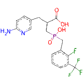 Nc1ccc(CC(CP(=O)(O)Cc2cccc(C(F)(F)F)c2F)C(=O)O)cn1